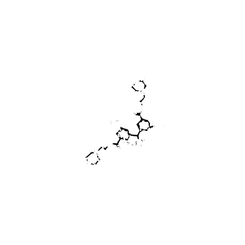 CS(=O)(=O)C(c1cc(O)cc(C(=O)OCCN2CCOCC2)c1)c1cc(O)cc(C(=O)OCCN2CCOCC2)c1O